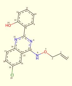 C=CCONc1nc(-c2ccccc2O)nc2ccc(Cl)cc12